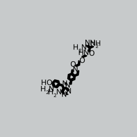 N=CC(C(=O)NCCOCCC(=O)N1CCc2cc(Cn3nc(-c4ccc(O)c(N)c4)c4c(N)ncnc43)ccc2C1)=C(N)N